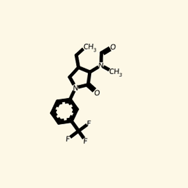 CCC1CN(c2cccc(C(F)(F)F)c2)C(=O)C1N(C)C=O